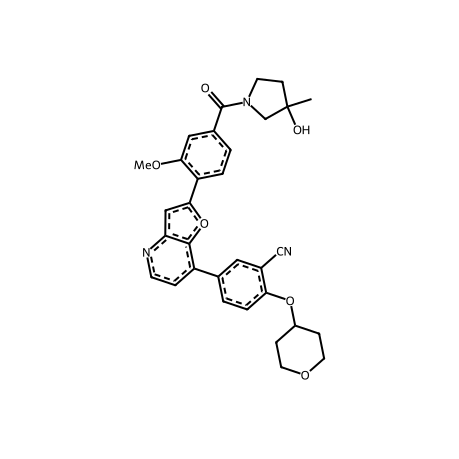 COc1cc(C(=O)N2CCC(C)(O)C2)ccc1-c1cc2nccc(-c3ccc(OC4CCOCC4)c(C#N)c3)c2o1